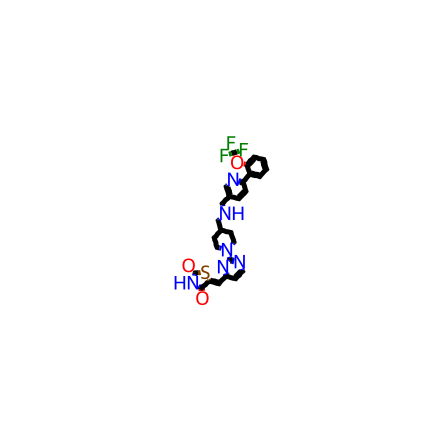 O=C1NC(=O)C(=Cc2ccnc(N3CCC(CNCc4ccc(-c5ccccc5OC(F)(F)F)nc4)CC3)n2)S1